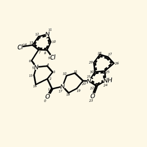 O=C(C1CCN(Cc2c(Cl)cncc2Cl)CC1)N1CCC(n2c(=O)[nH]c3ccccc32)CC1